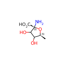 C[C@@H]1O[C@](N)(C(=O)O)C(O)C1O